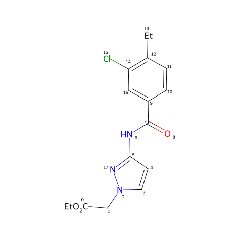 CCOC(=O)Cn1ccc(NC(=O)c2ccc(CC)c(Cl)c2)n1